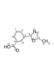 Cc1cnc(-c2cccc(C(=O)O)c2)o1